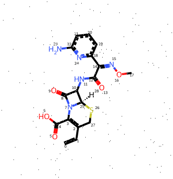 C=CC1=C(C(=O)O)N2C(=O)C(NC(=O)/C(=N\OC)c3cccc(N)n3)[C@H]2SC1